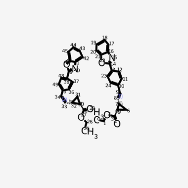 CCOC(=O)[C@@H]1C[C@H]1/C=C/c1ccc(-c2nc3ccccc3o2)cc1.CCOC(=O)[C@@H]1C[C@H]1/C=C\c1ccc(-c2nc3ccccc3o2)cc1